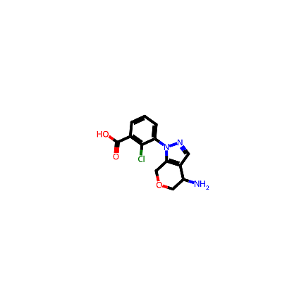 NC1COCc2c1cnn2-c1cccc(C(=O)O)c1Cl